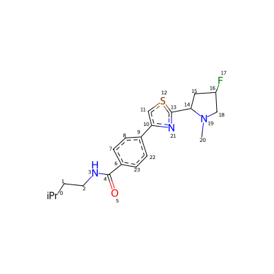 CC(C)CCNC(=O)c1ccc(-c2csc(C3CC(F)CN3C)n2)cc1